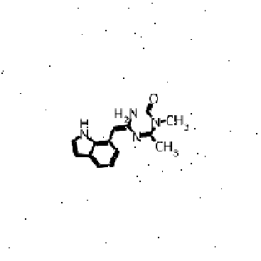 C/C(=N/C(N)=C\c1cccc2cc[nH]c12)N(C)C=O